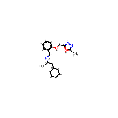 Cc1nnc(COc2ccccc2CNC(C)CC2CCCCC2)o1